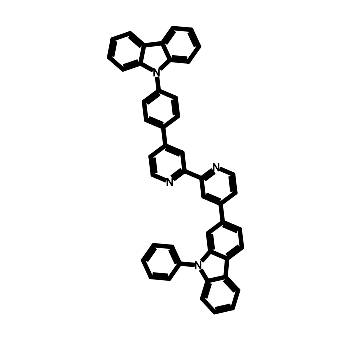 c1ccc(-n2c3ccccc3c3ccc(-c4ccnc(-c5cc(-c6ccc(-n7c8ccccc8c8ccccc87)cc6)ccn5)c4)cc32)cc1